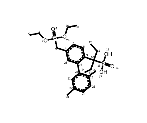 CCOP(=O)(Cc1ccc(C(CC)(CC)P(=O)(O)O)c(-c2cc(C)ccc2C)c1)OCC